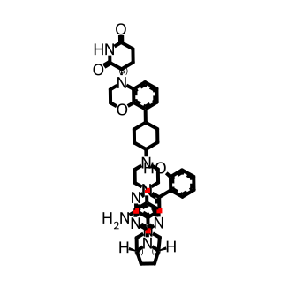 Nc1nnc(-c2ccccc2O)cc1N1C[C@H]2CC[C@@H](C1)N2c1ncc(N2CCN(C3CCC(c4cccc5c4OCCN5[C@H]4CCC(=O)NC4=O)CC3)CC2)cn1